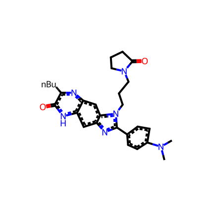 CCCCc1nc2cc3c(cc2[nH]c1=O)nc(-c1ccc(N(C)C)cc1)n3CCCN1CCCC1=O